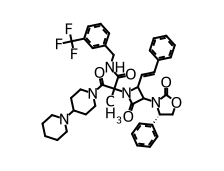 CC(C(=O)NCc1cccc(C(F)(F)F)c1)(C(=O)N1CCC(N2CCCCC2)CC1)N1C(=O)C(N2C(=O)OC[C@@H]2c2ccccc2)C1C=Cc1ccccc1